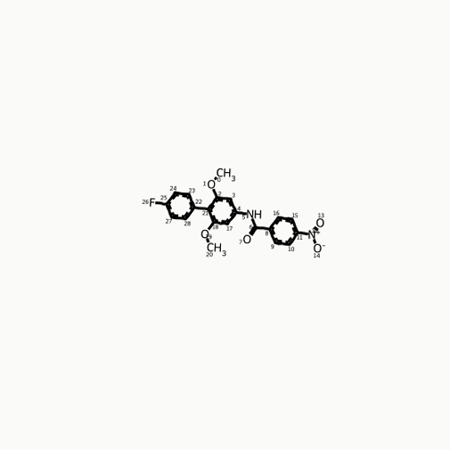 COc1cc(NC(=O)c2ccc([N+](=O)[O-])cc2)cc(OC)c1-c1ccc(F)cc1